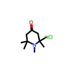 CN1C(C)(C)CC(=O)CC1(C)C.Cl